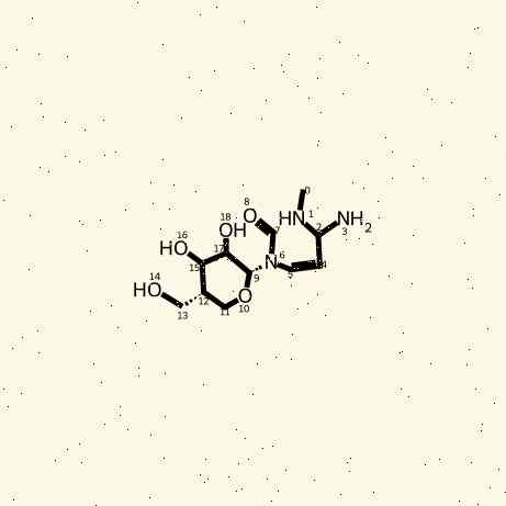 CNC(N)/C=C\N(C=O)[C@@H]1OC[C@H](CO)C(O)C1O